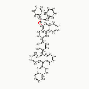 c1ccc2cc(-c3c4ccccc4c(-c4ccc(-c5ccc6c(c5)c5ccccc5c5c6oc6c7ccccc7c7ccccc7c65)cc4)c4ccccc34)ccc2c1